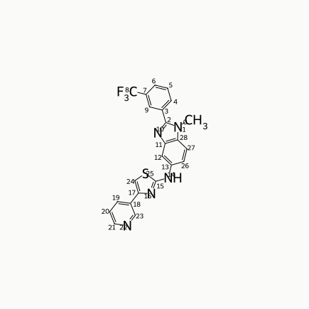 Cn1c(-c2cccc(C(F)(F)F)c2)nc2cc(Nc3nc(-c4cccnc4)cs3)ccc21